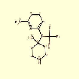 Nc1cccc(C(C(F)(F)F)C2(O)CCNCC2)c1